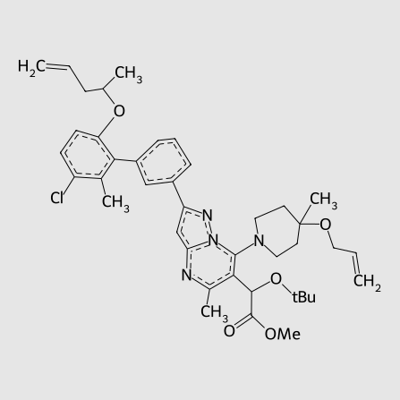 C=CCOC1(C)CCN(c2c(C(OC(C)(C)C)C(=O)OC)c(C)nc3cc(-c4cccc(-c5c(OC(C)CC=C)ccc(Cl)c5C)c4)nn23)CC1